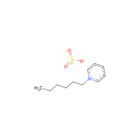 CCCCCC[n+]1ccccc1.O=[SH](=O)[O-]